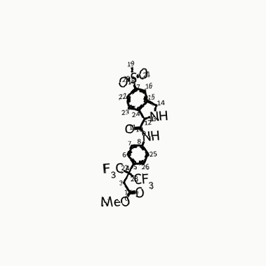 COC(=O)CC(c1ccc(NC(=O)C2NCc3cc(S(C)(=O)=O)ccc32)cc1)(C(F)(F)F)C(F)(F)F